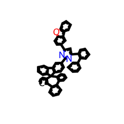 c1ccc(-c2ccccc2-c2cc(-c3ccc4oc5ccccc5c4c3)nc(-c3ccc4c(c3)-c3ccccc3C43c4ccccc4-c4ccccc4-c4ccccc43)n2)cc1